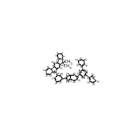 CC1(C)c2ccccc2-c2cc3c(cc21)N(c1cccc(-c2nc4ccc(-c5nc(-c6ccccc6)nc(-c6ccccc6)n5)cc4o2)c1)C1C=CC=CC31